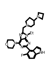 CCn1c(CN2CCC(N3CCC3)CC2)nc2c(N3CCOCC3)nc(-c3c(F)ccc4[nH]ccc34)nc21